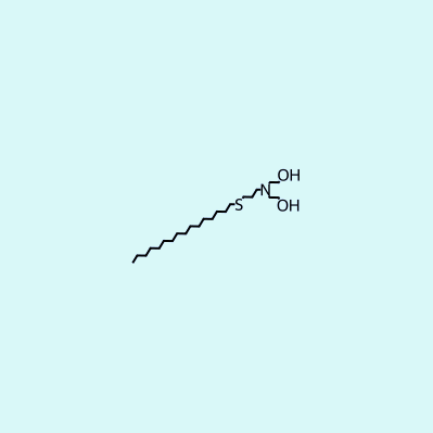 CCCCCCCCCCCCCCCCSCCCN(CCO)CCO